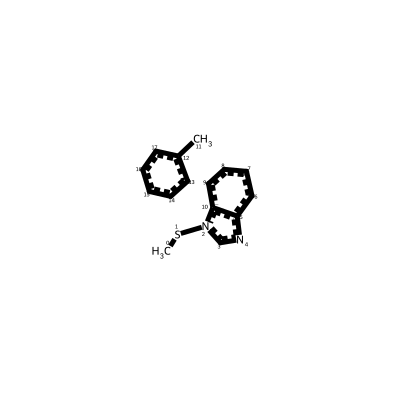 CSn1cnc2ccccc21.Cc1ccccc1